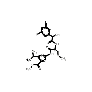 COC[C@H](NC(=O)C(O)c1cc(F)cc(F)c1)C(=O)Nc1nc(C(=O)OC)c(C(C)C)s1